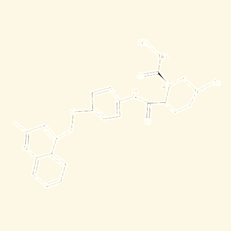 CC(=O)N1CCC(C(=O)Nc2ccc(OCc3cc(C)nc4ccccc34)cc2)[C@@H](C(=O)NO)C1